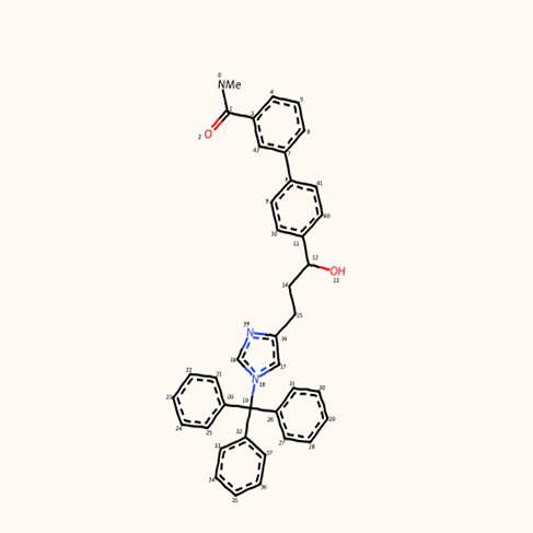 CNC(=O)c1cccc(-c2ccc(C(O)CCc3cn(C(c4ccccc4)(c4ccccc4)c4ccccc4)cn3)cc2)c1